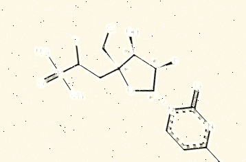 Nc1ccn([C@@H]2O[C@](CCl)(CC(F)P(=O)(O)O)[C@@H](O)[C@H]2F)c(=O)n1